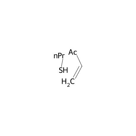 C=CC(C)=O.CCCS